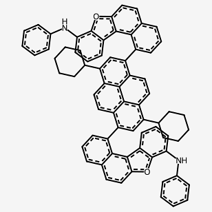 c1ccc(Nc2cccc3c2oc2ccc4cccc(-c5cc(C6CCCCC6)c6ccc7c(-c8cccc9ccc%10oc%11c(Nc%12ccccc%12)cccc%11c%10c89)cc(C8CCCCC8)c8ccc5c6c78)c4c23)cc1